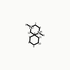 CN1CCN(C)C2(CCCCC2)C1